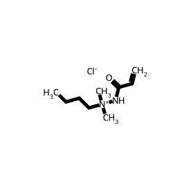 C=CC(=O)N[N+](C)(C)CCCC.[Cl-]